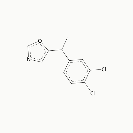 CC(c1ccc(Cl)c(Cl)c1)c1cnco1